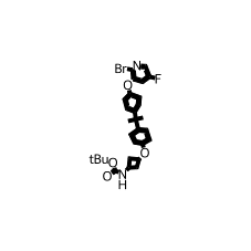 CC(C)(C)OC(=O)NC1CC(Oc2ccc(C(C)(C)c3ccc(Oc4cc(F)cnc4Br)cc3)cc2)C1